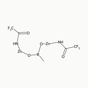 CB([O][Zn][NH]C(=O)C(F)(F)F)[O][Zn][NH]C(=O)C(F)(F)F